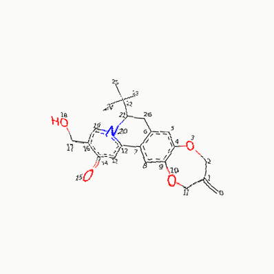 C=C1COc2cc3c(cc2OC1)-c1cc(=O)c(CO)cn1C(C(C)(C)C)C3